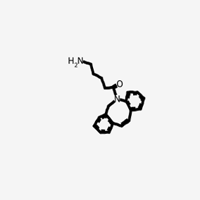 NCCCCC(=O)N1Cc2ccccc2/C=C\c2ccccc21